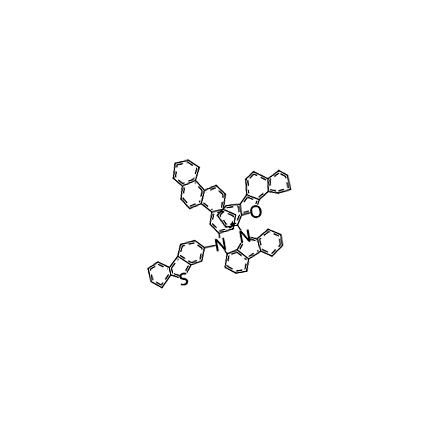 c1ccc2c(c1)ccc1c3cc(N(c4ccc5c(c4)sc4ccccc45)c4cccc5c6ccccc6n(-c6cccc7c6oc6c8ccccc8ccc76)c45)ccc3ccc21